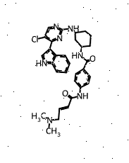 CN(C)C/C=C/C(=O)Nc1ccc(C(=O)N[C@@H]2CCC[C@H](Nc3ncc(Cl)c(-c4c[nH]c5ccccc45)n3)C2)cc1